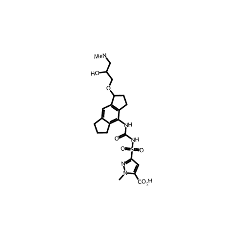 CNCC(O)COC1CCc2c1cc1c(c2NC(=O)NS(=O)(=O)c2cc(C(=O)O)n(C)n2)CCC1